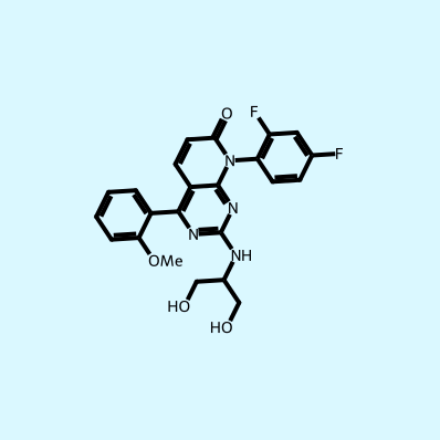 COc1ccccc1-c1nc(NC(CO)CO)nc2c1ccc(=O)n2-c1ccc(F)cc1F